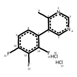 Cc1ncncc1-c1ccc(F)c(F)c1F.Cl.Cl